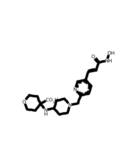 O=C(/C=C/c1ccc(CN2CCC(NC3(C(=O)O)CCOCC3)CC2)nc1)NO